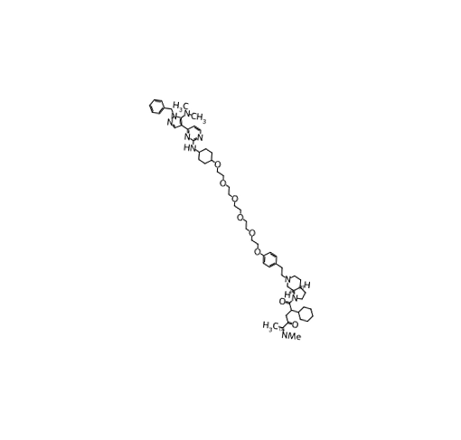 CN[C@@H](C)C(=O)CC(C(=O)N1CC[C@@H]2CCN(CCc3ccc(OCCOCCOCCOCCOCCOC4CCC(Nc5nccc(-c6cnn(Cc7ccccc7)c6N(C)C)n5)CC4)cc3)C[C@@H]21)C1CCCCC1